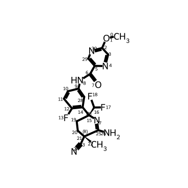 COc1cnc(C(=O)Nc2ccc(F)c([C@@]3(C(F)F)CC[C@@](C)(C#N)C(N)=N3)c2)cn1